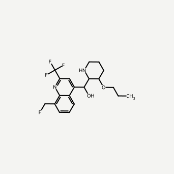 CCCOC1CCCNC1C(O)c1cc(C(F)(F)F)nc2c(CF)cccc12